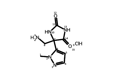 Cl.Cn1nccc1C1(CN)NC(=O)NC1=O